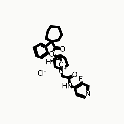 O=C(C[N+]12CCC(CC1)[C@@H](OC(=O)C1(c3ccccc3)CCCCCC1)C2)Nc1ccncc1F.[Cl-]